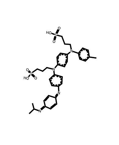 Cc1ccc(N(CCCS(=O)(=O)O)c2ccc(N(CCCS(=O)(=O)O)c3ccc(N=C4C=CC(=NC(C)C)C=C4)cc3)cc2)cc1